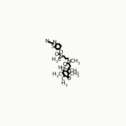 CC1=C(C)C(=O)C(C(C)(C)CC(=O)N(C)CCCN(C)C(=O)Oc2ccc3nc(C#N)sc3c2)=C(C)C1=O